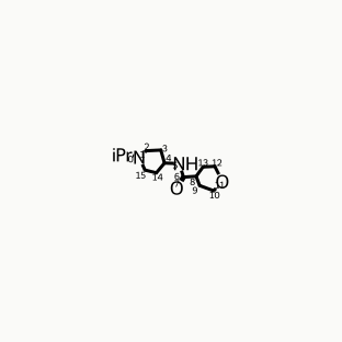 CC(C)N1CCC(NC(=O)C2CCOCC2)CC1